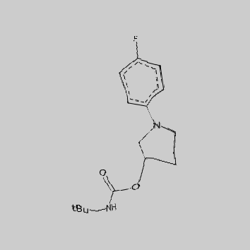 CC(C)(C)NC(=O)OC1CCN(c2ccc(F)cc2)C1